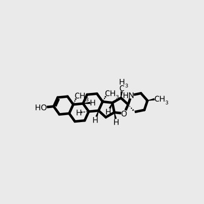 C[C@H]1CC[C@]2(NC1)O[C@@H]1C[C@@H]3[C@H]4CCC5CC(O)=CC[C@@]5(C)[C@@H]4CC[C@@]3(C)[C@@H]1[C@H]2C